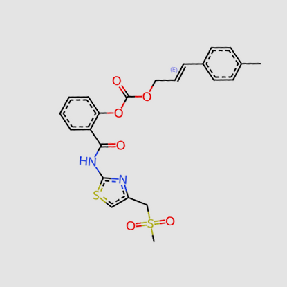 Cc1ccc(/C=C/COC(=O)Oc2ccccc2C(=O)Nc2nc(CS(C)(=O)=O)cs2)cc1